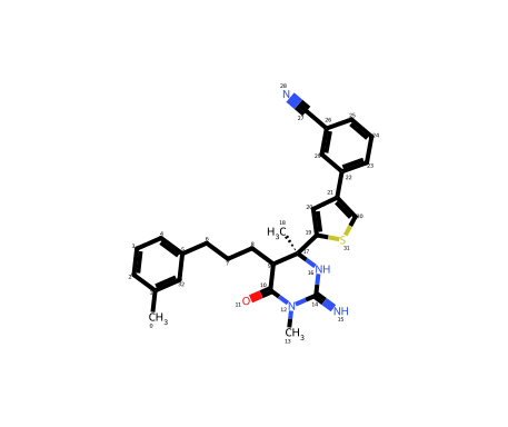 Cc1cccc(CCCC2C(=O)N(C)C(=N)N[C@]2(C)c2cc(-c3cccc(C#N)c3)cs2)c1